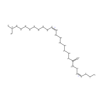 CCC/C=C\COC(=O)CCCCCCC/C=C\CCCCCCCCC(C)C